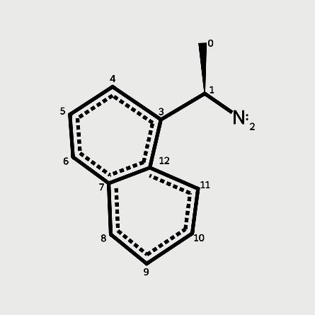 C[C@@H]([N])c1cccc2ccccc12